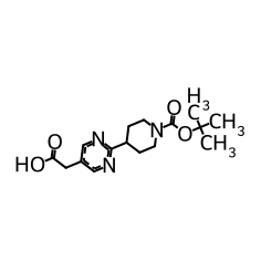 CC(C)(C)OC(=O)N1CCC(c2ncc(CC(=O)O)cn2)CC1